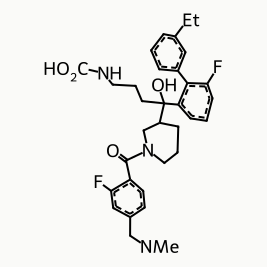 CCc1cccc(-c2c(F)cccc2C(O)(CCCNC(=O)O)C2CCCN(C(=O)c3ccc(CNC)cc3F)C2)c1